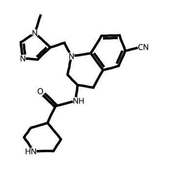 Cn1cncc1CN1CC(NC(=O)C2CCNCC2)Cc2cc(C#N)ccc21